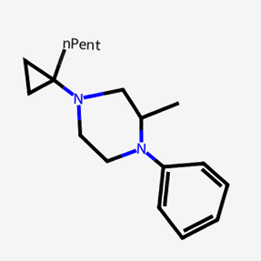 CCCCCC1(N2CCN(c3ccccc3)C(C)C2)CC1